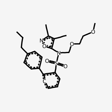 CCCc1ccc(-c2ccccc2S(=O)(=O)N(COCCOC)c2onc(C)c2C)cc1